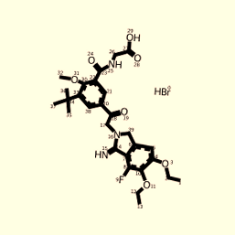 Br.CCOc1cc2c(c(F)c1OCC)C(=N)N(CC(=O)c1cc(C(=O)NCC(=O)O)c(OC)c(C(C)(C)C)c1)C2